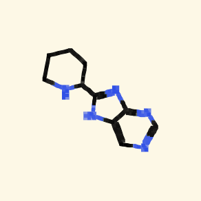 c1ncc2[nH]c(C3CCCCN3)nc2n1